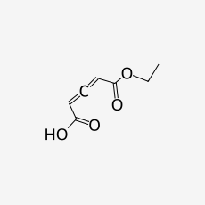 CCOC(=O)C=C=CC(=O)O